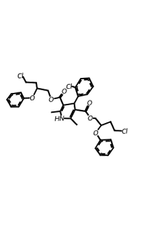 CC1=C(C(=O)OCC(CCCl)Oc2ccccc2)C(c2ccccc2Cl)C(C(=O)OCC(CCCl)Oc2ccccc2)=C(C)N1